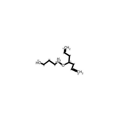 C=CCC(CC=C)O[SiH2]CCCO